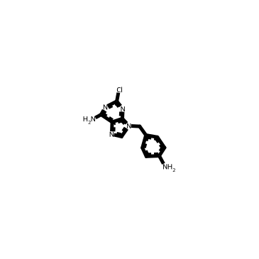 Nc1ccc(Cn2cnc3c(N)nc(Cl)nc32)cc1